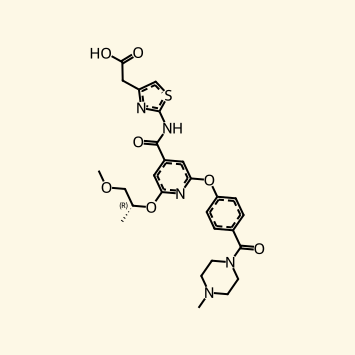 COC[C@@H](C)Oc1cc(C(=O)Nc2nc(CC(=O)O)cs2)cc(Oc2ccc(C(=O)N3CCN(C)CC3)cc2)n1